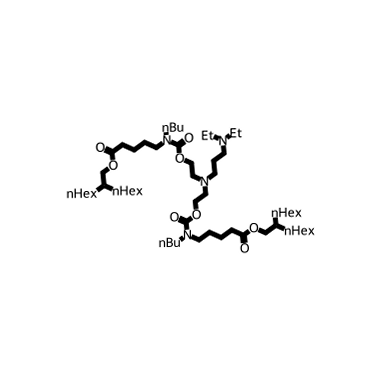 CCCCCCC(CCCCCC)COC(=O)CCCCN(CCCC)C(=O)OCCN(CCCN(CC)CC)CCOC(=O)N(CCCC)CCCCC(=O)OCC(CCCCCC)CCCCCC